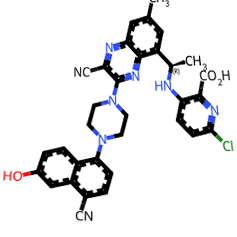 Cc1cc([C@@H](C)Nc2ccc(Cl)nc2C(=O)O)c2nc(N3CCN(c4ccc(C#N)c5cc(O)ccc45)CC3)c(C#N)nc2c1